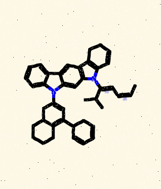 C/C=C\C=C(/C(C)C)n1c2c(c3cc4c5ccccc5n(C5=CC(C6C=CC=CC6)=C6CCCCC6C5)c4cc31)CCC=C2